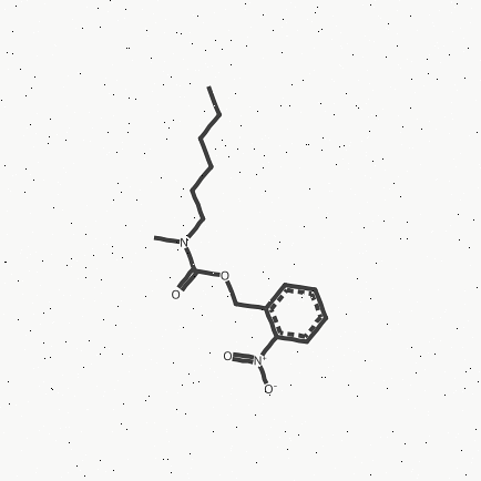 CCCCCCN(C)C(=O)OCc1ccccc1[N+](=O)[O-]